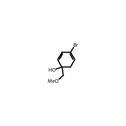 COCC1(O)C=CC(Br)=CC1